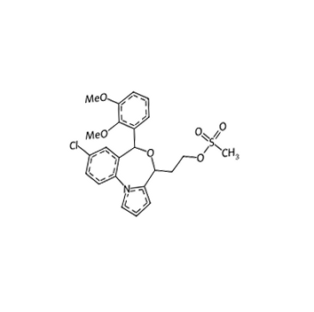 COc1cccc(C2OC(CCOS(C)(=O)=O)c3cccn3-c3ccc(Cl)cc32)c1OC